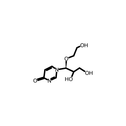 O=c1ccn([C@@H](OCCO)C(O)CO)cn1